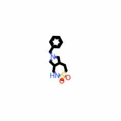 O=S1(=O)CCC2CN(Cc3ccccc3)CC2CN1